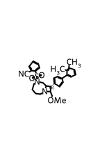 COCC1[C@@H](c2ccc(-c3cccc(C)c3C)cc2)C2CN(S(=O)(=O)c3ccccc3C#N)CCCCN12